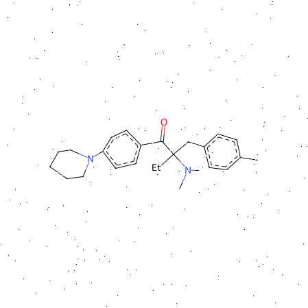 CCC(Cc1ccc(C)cc1)(C(=O)c1ccc(N2CCCCC2)cc1)N(C)C